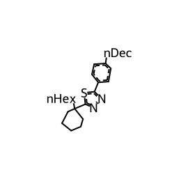 CCCCCCCCCCc1ccc(-c2nnc(C3(CCCCCC)CCCCC3)s2)cc1